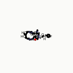 C/C=C/C(O)C(C)/C=C/C(=N\OCC(=O)NCc1ccc(F)cc1)C(C)C(O)C(C)C1OC(=O)/C(OC)=C/C(C)=C/C(C)C(O)C(CC)C(O)C(C)C/C(C)=C/C=C/C1OC